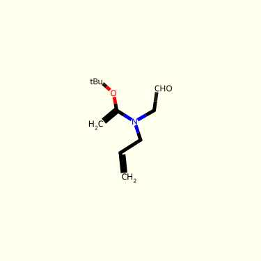 C=CCN(CC=O)C(=C)OC(C)(C)C